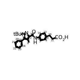 Cc1c(C(=O)Nc2ccc(CCC(=O)O)cc2)nn(C(C)(C)C)c1-c1ccccc1